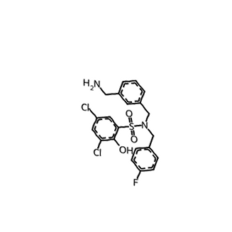 NCc1cccc(CN(Cc2ccc(F)cc2)S(=O)(=O)c2cc(Cl)cc(Cl)c2O)c1